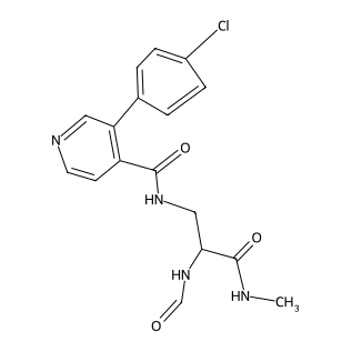 CNC(=O)C(CNC(=O)c1ccncc1-c1ccc(Cl)cc1)NC=O